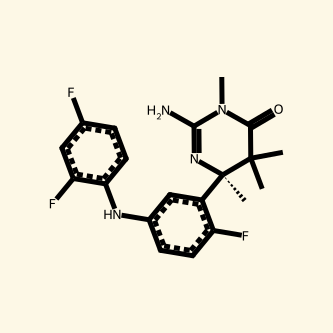 CN1C(=O)C(C)(C)[C@@](C)(c2cc(Nc3ccc(F)cc3F)ccc2F)N=C1N